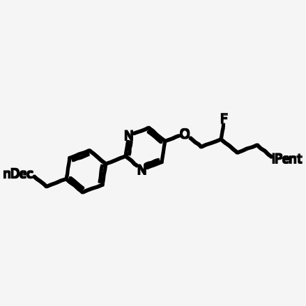 CCCCCCCCCCCc1ccc(-c2ncc(OCC(F)CCC(C)CCC)cn2)cc1